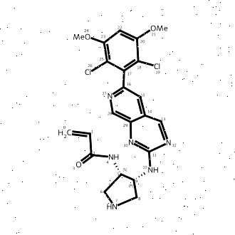 C=CC(=O)N[C@H]1CNC[C@H]1Nc1ncc2cc(-c3c(Cl)c(OC)cc(OC)c3Cl)ncc2n1